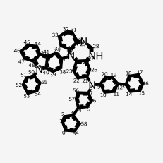 c1ccc(-c2ccc(N(c3ccc(-c4ccccc4)cc3)c3ccc4c(c3)[nH]cnc3ccccc3n4-c3ccc4c(c3)c3ccccc3n4-c3ccccc3)cc2)cc1